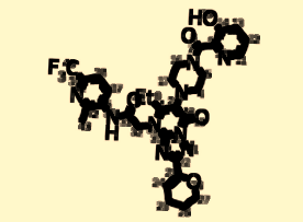 CCc1c(N2CCN(C(=O)c3ncccc3O)CC2)c(=O)n2nc(C3=CCCCO3)nc2n1CC(=O)Nc1ccc(C(F)(F)F)nc1C